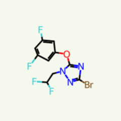 Fc1cc(F)cc(Oc2nc(Br)nn2CC(F)F)c1